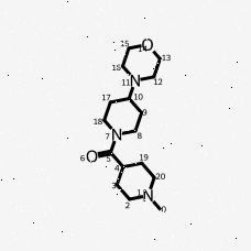 CN1CCC(C(=O)N2CCC(N3CCOCC3)CC2)CC1